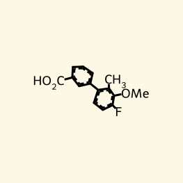 COc1c(F)ccc(-c2cccc(C(=O)O)c2)c1C